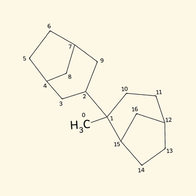 CC1(C2CC3CCC(C3)C2)CCC2CCC1C2